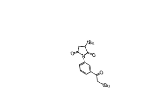 CC(C)(C)CC(=O)c1cccc(N2C(=O)CC(C(C)(C)C)C2=O)c1